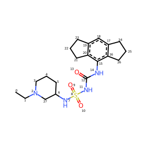 CCN1CCCC(NS(=O)(=O)NC(=O)Nc2c3c(cc4c2CCC4)CCC3)C1